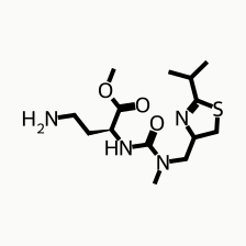 COC(=O)[C@H](CCN)NC(=O)N(C)CC1CSC(C(C)C)=N1